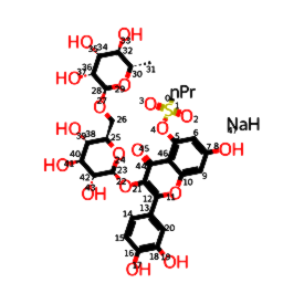 CCCS(=O)(=O)Oc1cc(O)cc2oc(-c3ccc(O)c(O)c3)c(O[C@@H]3O[C@H](CO[C@@H]4O[C@@H](C)[C@H](O)[C@@H](O)[C@H]4O)[C@@H](O)[C@H](O)[C@H]3O)c(=O)c12.[NaH]